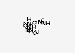 CCC1CNCCN1Cc1ccc(C(=O)Nc2nccc(C)c2Nc2nccc(-c3cccnc3)n2)cc1